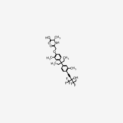 CCC(CC)(c1ccc(C#CC(O)(C(F)(F)F)C(F)(F)F)c(C)c1)c1ccc(OCC(=O)N[C@H](C)C(=O)O)c(C)c1